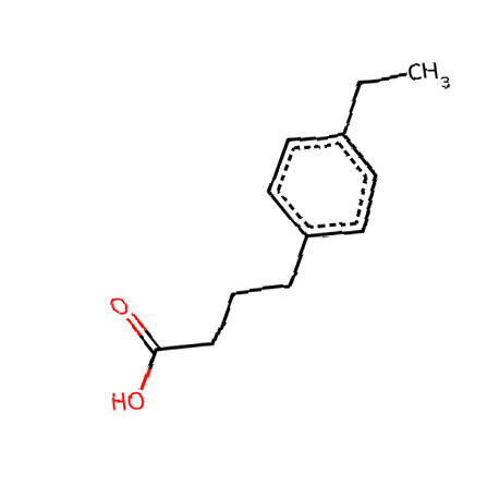 CCc1ccc(CCCC(=O)O)cc1